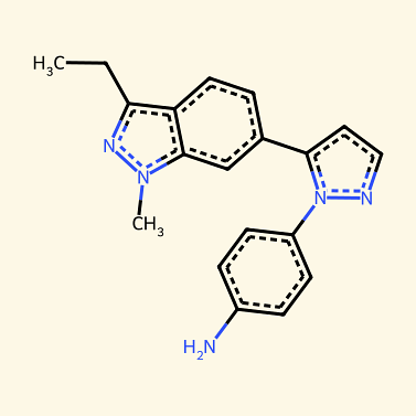 CCc1nn(C)c2cc(-c3ccnn3-c3ccc(N)cc3)ccc12